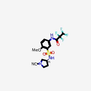 COc1ccc(NC(=O)C(F)(F)C(F)F)cc1S(=O)(=O)N[C@@H]1CCN(C#N)C1